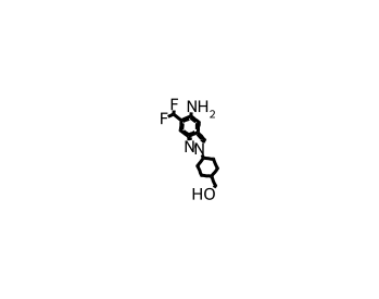 Nc1cc2cn(C3CCC(CO)CC3)nc2cc1C(F)F